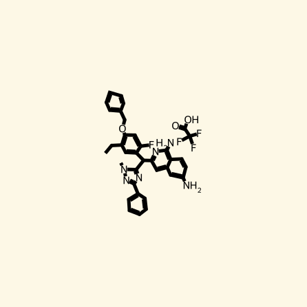 CCc1cc(C(c2cc3cc(N)ccc3c(N)n2)c2nc(-c3ccccc3)nn2C)c(F)cc1OCc1ccccc1.O=C(O)C(F)(F)F